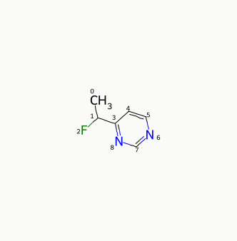 CC(F)c1ccncn1